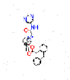 O=C(C[N+]12CCC(CC1)[C@@H](OC(=O)C1c3ccccc3Cc3ccccc31)C2)Nc1cncnc1